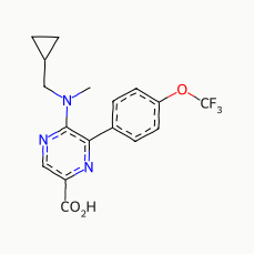 CN(CC1CC1)c1ncc(C(=O)O)nc1-c1ccc(OC(F)(F)F)cc1